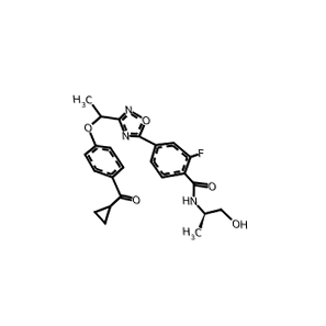 CC(Oc1ccc(C(=O)C2CC2)cc1)c1noc(-c2ccc(C(=O)N[C@H](C)CO)c(F)c2)n1